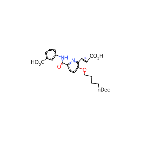 CCCCCCCCCCCCCCOc1ccc(C(=O)Nc2cccc(C(=O)O)c2)nc1/C=C/C(=O)O